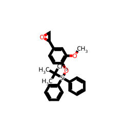 COc1cc(C2CO2)ccc1O[Si](c1ccccc1)(c1ccccc1)C(C)(C)C